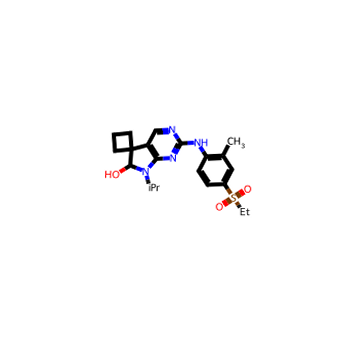 CCS(=O)(=O)c1ccc(Nc2ncc3c(n2)N(C(C)C)C(O)C32CCC2)c(C)c1